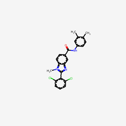 Cc1ccc(NC(=O)c2ccc3c(c2)nc(-c2c(Cl)cccc2Cl)n3C)cc1C